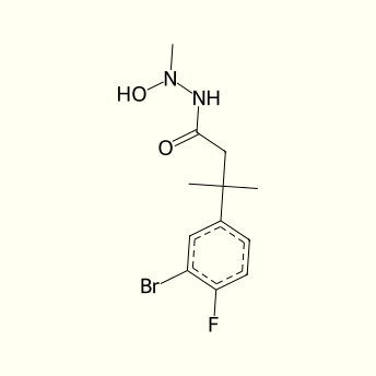 CN(O)NC(=O)CC(C)(C)c1ccc(F)c(Br)c1